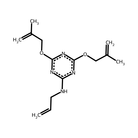 C=CCNc1nc(OCC(=C)C)nc(OCC(=C)C)n1